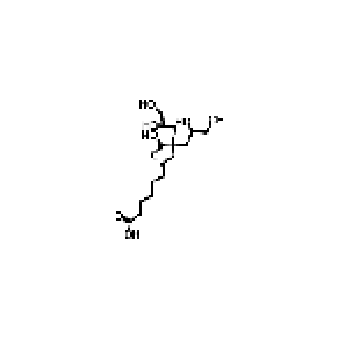 O=C(O)CCCCCCCC(CC(O)CO)(CC(O)CO)C(=O)O